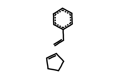 C1=CCCC1.C=Cc1ccccc1